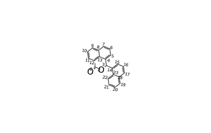 O=COC(c1cccc2ccccc12)c1cccc2ccccc12